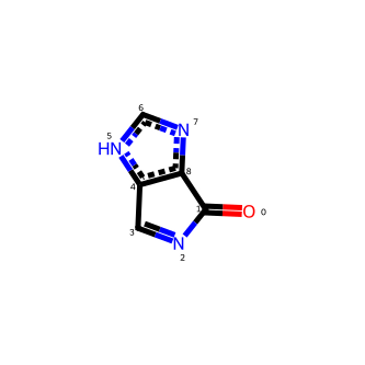 O=C1N=Cc2[nH]cnc21